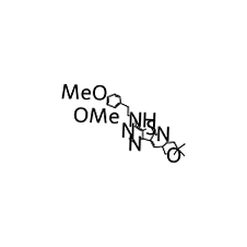 COc1ccc(CCNc2ncnc3c4c(sc23)=NC2CC(C)(C)OCC2C=4)c(OC)c1